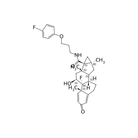 C[C@]12C[C@H]3[C@@H]4CCC5=CC(=O)C=C[C@]5(C)[C@@]4(F)[C@@H](O)C[C@]3(C)[C@]1(C(=O)NCCCOc1ccc(F)cc1)C2